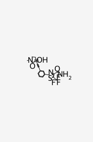 CN1CC[C@@](O)(C#Cc2cccc(-c3nc(C(N)=O)c(C(F)(F)F)s3)c2)C1=O